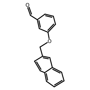 O=Cc1cccc(OCc2ccc3ccccc3c2)c1